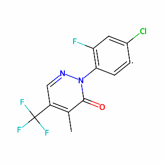 Cc1c(C(F)(F)F)cnn(-c2c[c]c(Cl)cc2F)c1=O